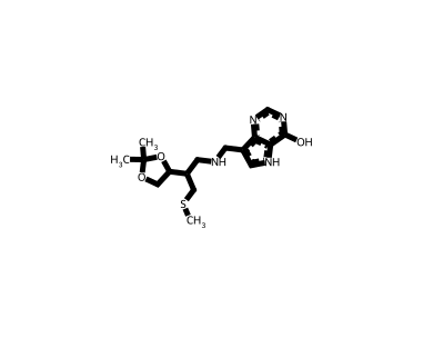 CSCC(CNCc1c[nH]c2c(O)ncnc12)C1COC(C)(C)O1